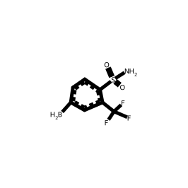 Bc1ccc(S(N)(=O)=O)c(C(F)(F)F)c1